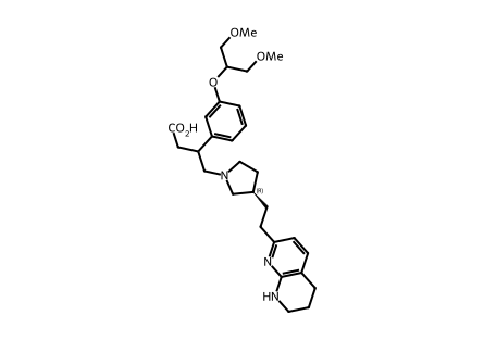 COCC(COC)Oc1cccc(C(CC(=O)O)CN2CC[C@@H](CCc3ccc4c(n3)NCCC4)C2)c1